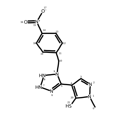 Cn1ncc(C2=NNNN2Cc2ccc([N+](=O)[O-])cc2)c1S